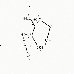 C[O].[CH2]CCO.[CH2]CO.[CH3]